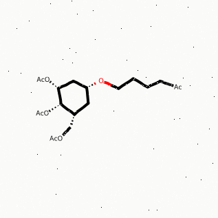 CC(=O)CCCCO[C@@H]1C[C@H](COC(C)=O)[C@H](OC(C)=O)[C@H](OC(C)=O)C1